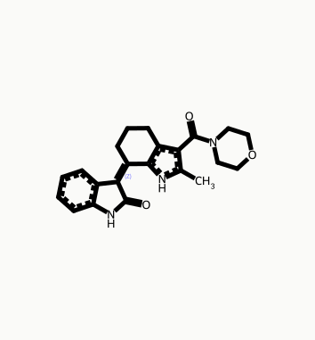 Cc1[nH]c2c(c1C(=O)N1CCOCC1)CCC/C2=C1/C(=O)Nc2ccccc21